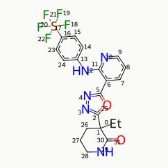 CCC1(c2nnc(-c3cccnc3Nc3ccc(S(F)(F)(F)(F)F)cc3)o2)CCCNC1=O